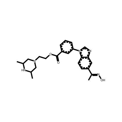 CC(=NO)c1ccc2c(c1)ncn2-c1cccc(C(=O)OCCN2CC(C)NC(C)C2)c1